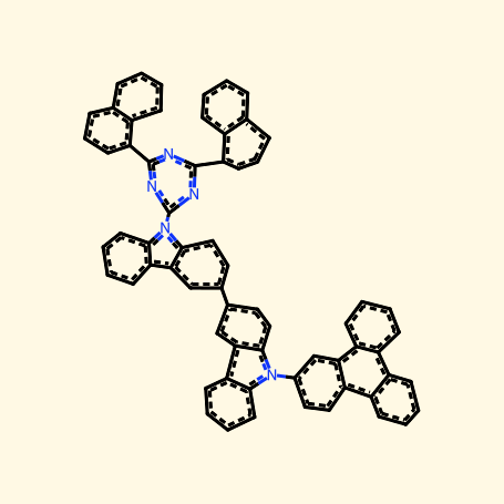 c1ccc2c(-c3nc(-c4cccc5ccccc45)nc(-n4c5ccccc5c5cc(-c6ccc7c(c6)c6ccccc6n7-c6ccc7c8ccccc8c8ccccc8c7c6)ccc54)n3)cccc2c1